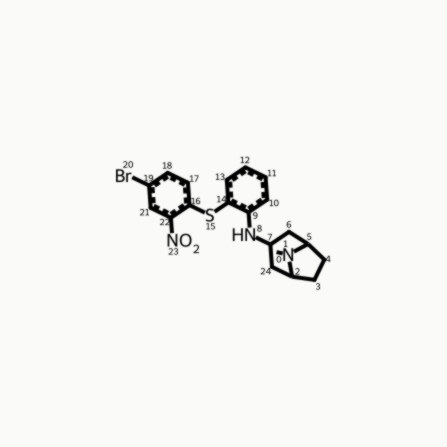 CN1C2CCC1CC(Nc1ccccc1Sc1ccc(Br)cc1[N+](=O)[O-])C2